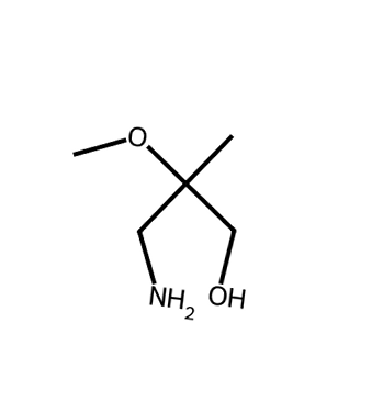 COC(C)(CN)CO